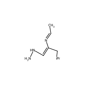 C/C=N/C(=C\NN)CC(C)C